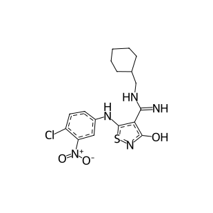 N=C(NCC1CCCCC1)c1c(O)nsc1Nc1ccc(Cl)c([N+](=O)[O-])c1